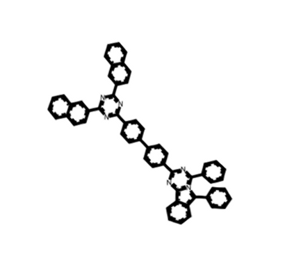 c1ccc(-c2nc(-c3ccc(-c4ccc(-c5nc(-c6ccc7ccccc7c6)nc(-c6ccc7ccccc7c6)n5)cc4)cc3)nc3c4ccccc4c(-c4ccccc4)n23)cc1